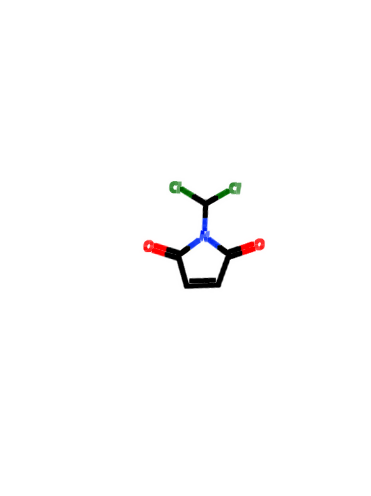 O=C1C=CC(=O)N1[C](Cl)Cl